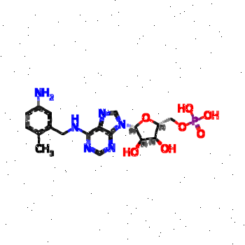 Cc1ccc(N)cc1CNc1ncnc2c1ncn2[C@@H]1O[C@H](COP(=O)(O)O)[C@@H](O)[C@H]1O